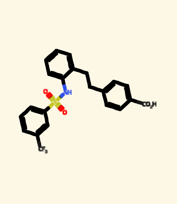 O=C(O)c1ccc(CCc2ccccc2NS(=O)(=O)c2cccc(C(F)(F)F)c2)cc1